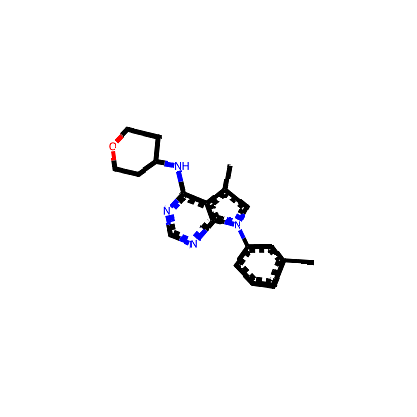 Cc1cccc(-n2cc(C)c3c(NC4CCOCC4)ncnc32)c1